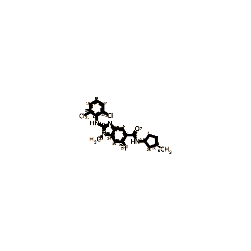 C[C@@H]1CCC(NC(=O)c2cc3nc(Nc4c(Cl)cccc4Cl)n(C)c3cc2F)C1